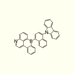 c1ccc2c(c1)B(c1ccc(-n3c4ccccc4c4ccccc43)c3ccccc13)c1cccc3nccc-2c13